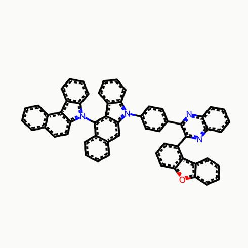 c1ccc2c(-n3c4ccccc4c4c5ccccc5ccc43)c3c4ccccc4n(-c4ccc(-c5nc6ccccc6nc5-c5cccc6oc7ccccc7c56)cc4)c3cc2c1